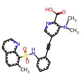 Cc1ccc2cccnc2c1S(=O)(=O)Nc1ccccc1C#Cc1cnc(C(=O)O)c(N(C)C)c1